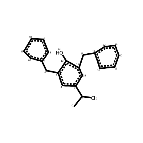 CC(Cl)c1cc(Cc2ccccc2)c(O)c(Cc2ccccc2)c1